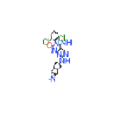 CN(C)[C@H]1Cc2ccc(Nc3ncc4c(=N)n(-c5c(Cl)cccc5Cl)c(=O)n(C)c4n3)cc2C1